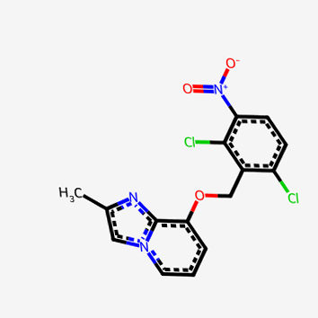 Cc1cn2cccc(OCc3c(Cl)ccc([N+](=O)[O-])c3Cl)c2n1